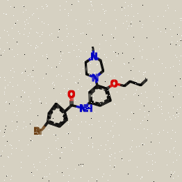 CCCCOc1ccc(NC(=O)c2ccc(Br)cc2)cc1N1CCN(C)CC1